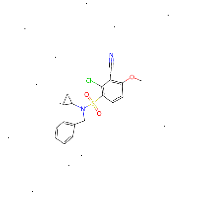 COc1ccc(S(=O)(=O)N(Cc2ccccc2)C2CC2)c(Cl)c1C#N